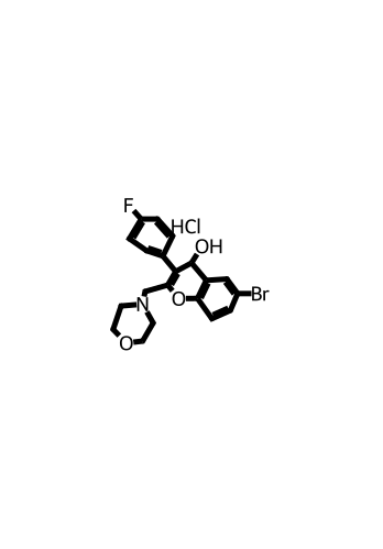 Cl.OC1C(c2ccc(F)cc2)=C(CN2CCOCC2)Oc2ccc(Br)cc21